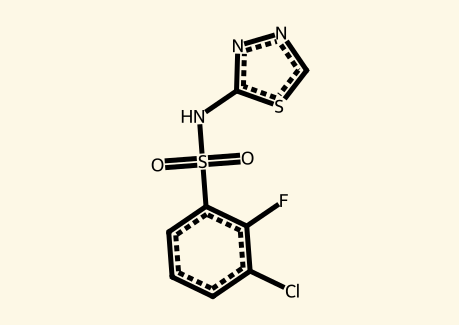 O=S(=O)(Nc1nncs1)c1cccc(Cl)c1F